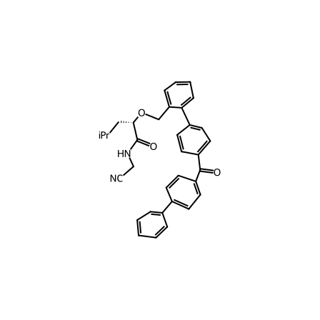 CC(C)C[C@H](OCc1ccccc1-c1ccc(C(=O)c2ccc(-c3ccccc3)cc2)cc1)C(=O)NCC#N